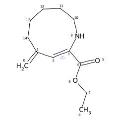 C=C1/C=C(/C(=O)OCC)NCCCCC1